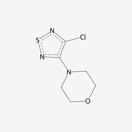 Clc1nsnc1N1CCOCC1